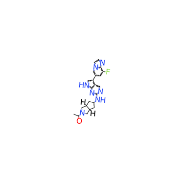 CC(=O)N1C[C@H]2CC(Nc3ncc4c(-c5cc(F)c6nccn6c5)c[nH]c4n3)C[C@H]2C1